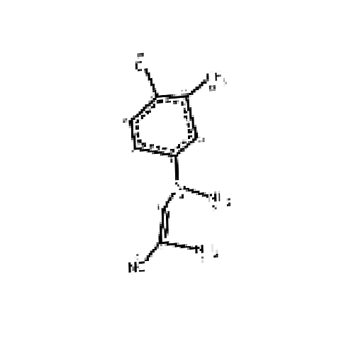 N#C/C(N)=C/N(N)c1ccc(Cl)c(C(F)(F)F)c1